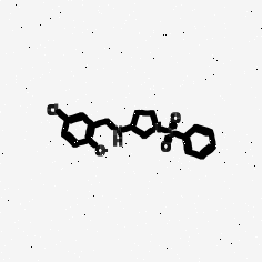 [O]c1ccc(Cl)cc1CNC1CCN(S(=O)(=O)c2ccccc2)C1